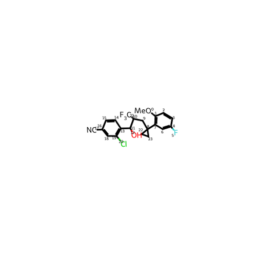 COc1ccc(F)cc1C1(CC(C(O)c2ccc(C#N)cc2Cl)C(F)(F)F)CC1